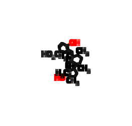 C[C@H]1CC[C@@]2(C)[C@@H](CC[C@]3(C)[C@@H]2CC[C@@]3(C)CO)[C@]1(C)Cc1cc(C(=O)O)ccc1O